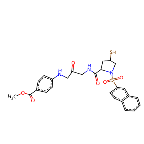 COC(=O)c1ccc(NCC(=O)CNC(=O)C2CC(S)CN2S(=O)(=O)c2ccc3ccccc3c2)cc1